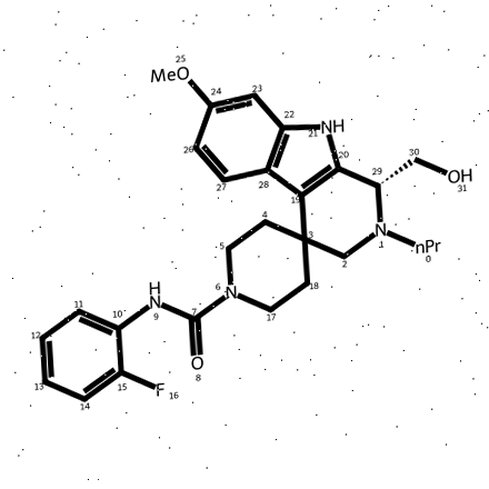 CCCN1CC2(CCN(C(=O)Nc3ccccc3F)CC2)c2c([nH]c3cc(OC)ccc23)[C@@H]1CO